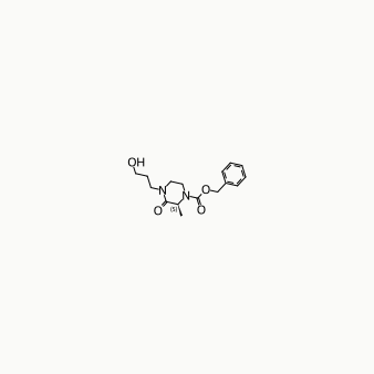 C[C@H]1C(=O)N(CCCO)CCN1C(=O)OCc1ccccc1